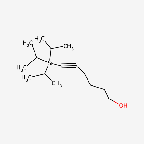 CC(C)[Si](C#CCCCCO)(C(C)C)C(C)C